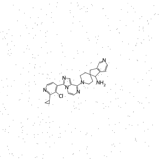 NC1c2ccncc2CC12CCN(c1nccn3c(-c4ccnc(C5CC5)c4Cl)ncc13)CC2